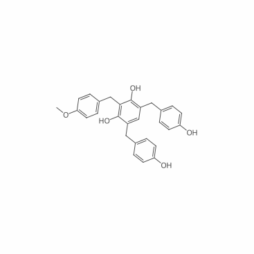 COc1ccc(Cc2c(O)c(Cc3ccc(O)cc3)cc(Cc3ccc(O)cc3)c2O)cc1